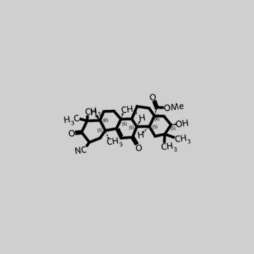 COC(=O)[C@@]12CCC3[C@H](C(=O)C=C4[C@@]3(C)CC[C@H]3C(C)(C)C(=O)C(C#N)C[C@]43C)[C@@H]1CC(C)(C)[C@@H](O)C2